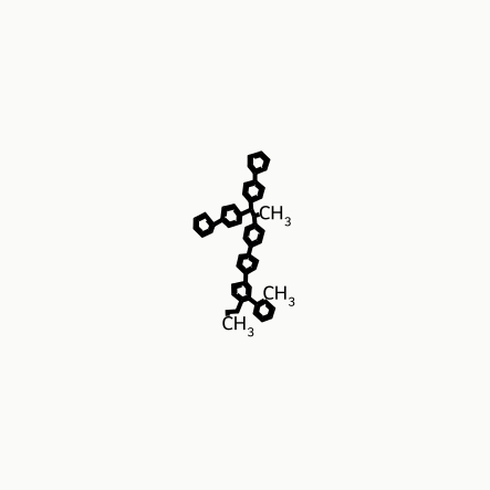 CCCc1ccc(-c2ccc(-c3ccc(C(C)C(c4ccc(-c5ccccc5)cc4)c4ccc(-c5ccccc5)cc4)cc3)cc2)cc1-c1ccccc1C